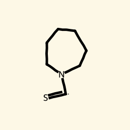 S=[C]N1CCCCCC1